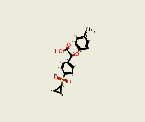 Cc1ccc(OC(C(=O)O)c2ccc(S(=O)(=O)C3CC3)cc2)cc1